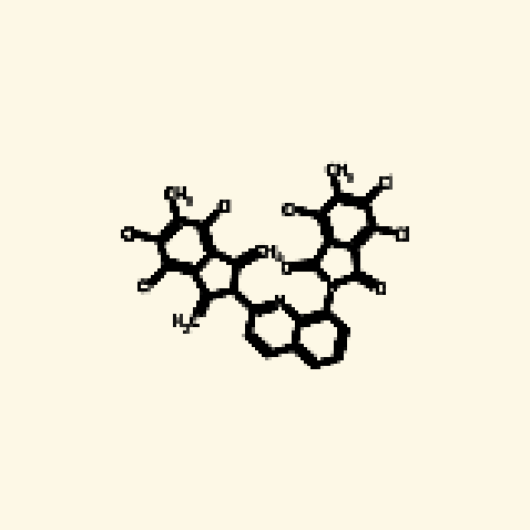 C=C1c2c(Cl)c(C)c(Cl)c(Cl)c2C(=C)C1c1ccc2cccc(N3C(=O)c4c(Cl)c(C)c(Cl)c(Cl)c4C3=O)c2n1